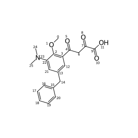 COc1c(C(=O)CC(=O)C(=O)O)cc(Cc2ccccc2)cc1N(C)C